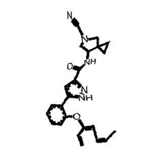 C=C/C(=C\C=C/C)Oc1ccccc1-c1cc(C(=O)NC2CN(C#N)CC23CC3)n[nH]1